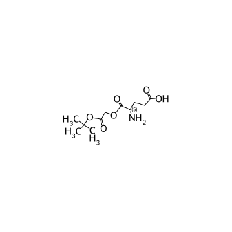 CC(C)(C)OC(=O)COC(=O)[C@@H](N)CCC(=O)O